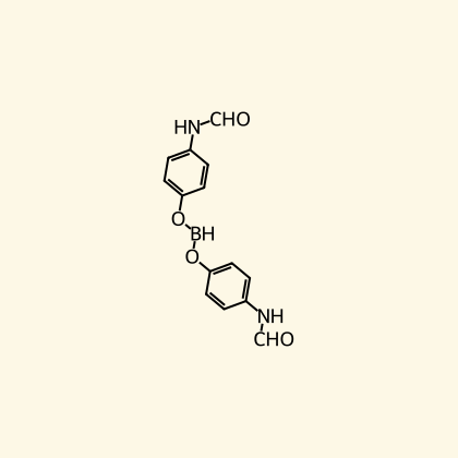 O=CNc1ccc(OBOc2ccc(NC=O)cc2)cc1